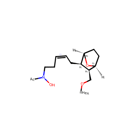 CCCCCCOC[C@H]1[C@@H](C/C=C\CCN(O)C(C)=O)[C@H]2CC[C@@H]1O2